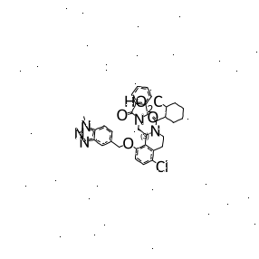 Cn1nnc2cc(COc3ccc(Cl)c4c3[C@@H](CN3Cc5ccccc5C3=O)N(C(=O)C3CCCCC3C(=O)O)CC4)ccc21